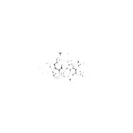 CC(=O)OCC1O[C@H](OCC2OC(OC(C)=O)[C@@H](O[Si](C)(C)C)C(O[Si](C)(C)C)[C@@H]2O[Si](C)(C)C)C(O[Si](C)(C)C)[C@@H](O[Si](C)(C)C)[C@H]1O[Si](C)(C)C